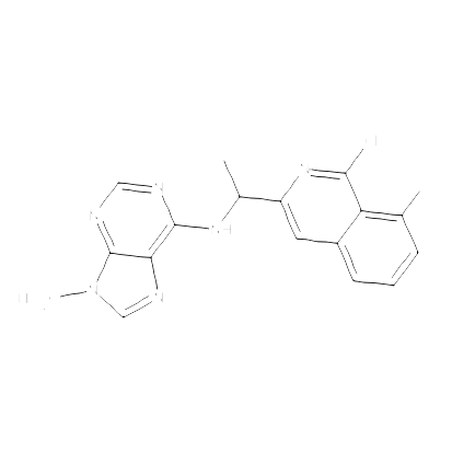 CC(Nc1ncnc2c1ncn2C(=O)O)c1cc2cccc(Cl)c2c(Cl)n1